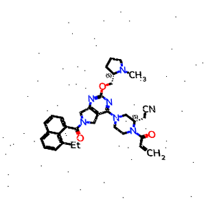 C=CC(=O)N1CCN(c2nc(OC[C@@H]3CCCN3C)nc3c2CN(C(=O)c2cccc4cccc(CC)c24)C3)C[C@@H]1CC#N